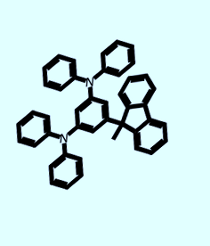 CC1(c2cc(N(c3ccccc3)c3ccccc3)cc(N(c3ccccc3)c3ccccc3)c2)c2ccccc2-c2ccccc21